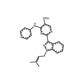 COc1cnc(-c2nn(CC=C(C)C)c3ccccc23)nc1Nc1ccncc1